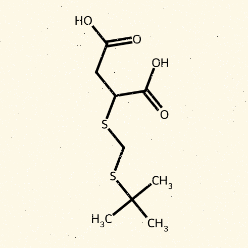 CC(C)(C)SCSC(CC(=O)O)C(=O)O